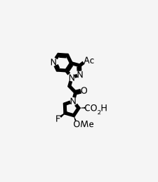 CO[C@H]1[C@@H](C(=O)O)N(C(=O)Cn2nc(C(C)=O)c3ccncc32)C[C@@H]1F